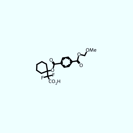 COCOC(=O)c1ccc(C(=O)OC2(C(F)(F)C(=O)O)CCCCC2)cc1